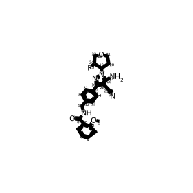 COc1ccccc1C(=O)NCc1ccc(-c2nn(C3CCOCC3F)c(N)c2C#N)cc1